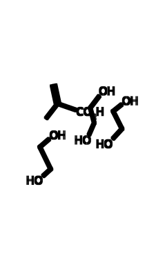 C=C(C)C(=O)O.OCCO.OCCO.OCCO